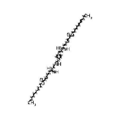 CCCCCCCCCCCCOC(=O)CCSCCCC(=N)NCCNCCN1CCN(CCNC(=N)CCCSCCC(=O)OCCCCCCCCCCCC)CC1